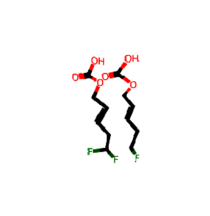 O=C(O)OCC=CCC(F)F.O=C(O)OCC=CCCF